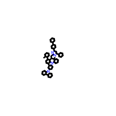 CCC(Cc1nc(-c2ccccc2)cc(-c2ccc(-c3ccccc3)cc2)n1)c1c(-c2ccccc2C)ccc2c3cc(-n4c5ccccc5c5ccccc54)ccc3n(-c3ccccc3)c12